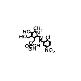 Cc1nc(N=Nc2cc([N+](=O)[O-])ccc2Cl)c(COP(=O)(O)O)c(CO)c1O